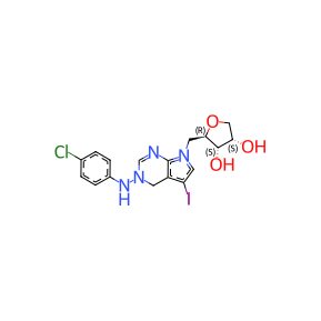 O[C@H]1[C@@H](O)CO[C@@H]1Cn1cc(I)c2c1N=CN(Nc1ccc(Cl)cc1)C2